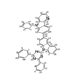 c1ccc(-c2nc(-c3ccccc3)nc(-n3c4ccccc4c4cc(-c5ccc6c7ncccc7n(-c7ccccc7)c6c5)ccc43)n2)cc1